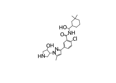 Cc1cc(-c2ccc(Cl)c(C(=O)NC(O)C3CCCC(C)(C)C3)c2)nn1C1CNCC1O